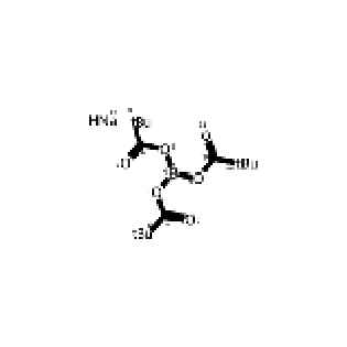 CC(C)(C)C(=O)OB(OC(=O)C(C)(C)C)OC(=O)C(C)(C)C.[NaH]